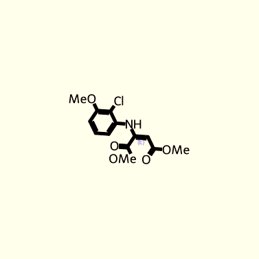 COC(=O)/C=C(/Nc1cccc(OC)c1Cl)C(=O)OC